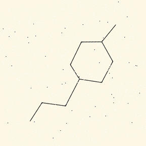 CCC[C]1CCC(C)CC1